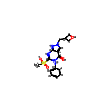 CS(=O)(=O)c1nc2nn(CC3COC3)cc2c(=O)n1-c1ccccc1